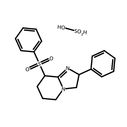 O=S(=O)(O)O.O=S(=O)(c1ccccc1)C1CCCN2CC(c3ccccc3)N=C12